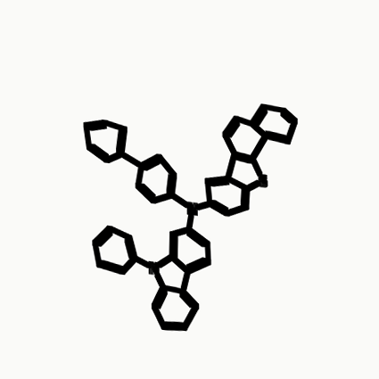 c1ccc(-c2ccc(N(c3ccc4sc5c6ccccc6ccc5c4c3)c3ccc4c5ccccc5n(-c5ccccc5)c4c3)cc2)cc1